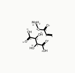 C=CC(=O)OC.O=C(O)C(O)C(O)C(=O)O.[MgH2]